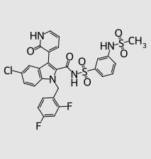 CS(=O)(=O)Nc1cccc(S(=O)(=O)NC(=O)c2c(-c3ccc[nH]c3=O)c3cc(Cl)ccc3n2Cc2ccc(F)cc2F)c1